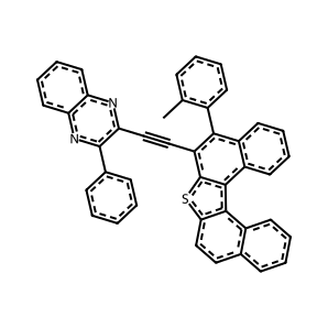 Cc1ccccc1-c1c(C#Cc2nc3ccccc3nc2-c2ccccc2)c2sc3ccc4ccccc4c3c2c2ccccc12